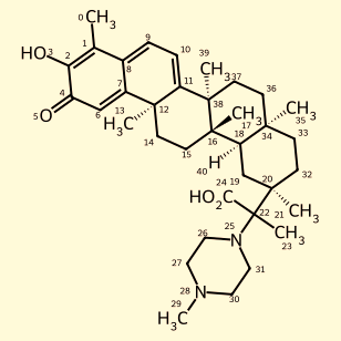 CC1=C(O)C(=O)C=C2C1=CC=C1[C@@]2(C)CC[C@@]2(C)[C@@H]3C[C@](C)(C(C)(C(=O)O)N4CCN(C)CC4)CC[C@]3(C)CC[C@]12C